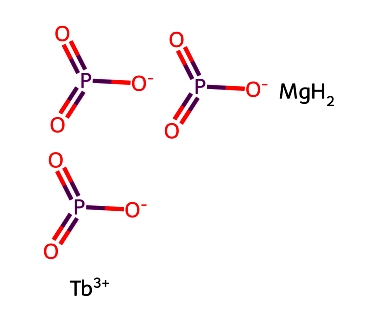 O=P(=O)[O-].O=P(=O)[O-].O=P(=O)[O-].[MgH2].[Tb+3]